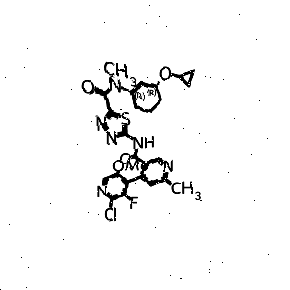 COc1cnc(Cl)c(F)c1-c1cc(C)ncc1C(=O)Nc1nnc(C(=O)N(C)[C@@H]2CCC[C@@H](OC3CC3)C2)s1